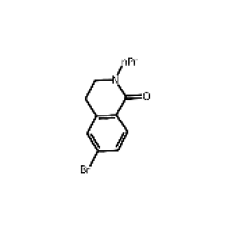 CCCN1CCc2cc(Br)ccc2C1=O